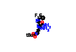 CC(C)(C)OC(=O)N1CC[C@]2(C1)C[C@H](n1nc(-c3cnn(Cc4ccccc4C(F)(F)F)c3)c(C(N)=O)c1N)C2